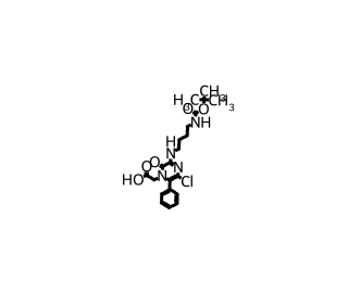 CC(C)(C)OC(=O)NCCCCNc1nc(Cl)c(-c2ccccc2)n(CC(=O)O)c1=O